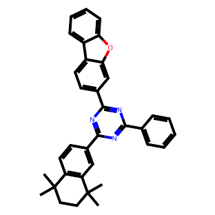 CC1(C)CCC(C)(C)c2cc(-c3nc(-c4ccccc4)nc(-c4ccc5c(c4)oc4ccccc45)n3)ccc21